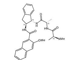 CN[C@@H](C)C(=O)N[C@@H](C)C(=O)N[C@H]1c2ccccc2C[C@@H]1NC(=O)c1cc2ccccc2cc1OC